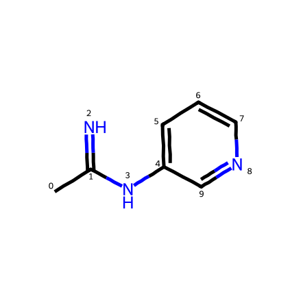 CC(=N)Nc1cccnc1